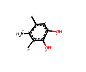 Bc1c(C)cc(O)c(O)c1C